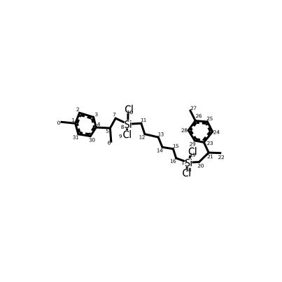 Cc1ccc(C(C)C[Si](Cl)(Cl)CCCCCC[Si](Cl)(Cl)CC(C)c2ccc(C)cc2)cc1